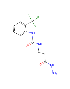 NNC(=O)CCNC(=O)Nc1ccccc1C(F)(F)F